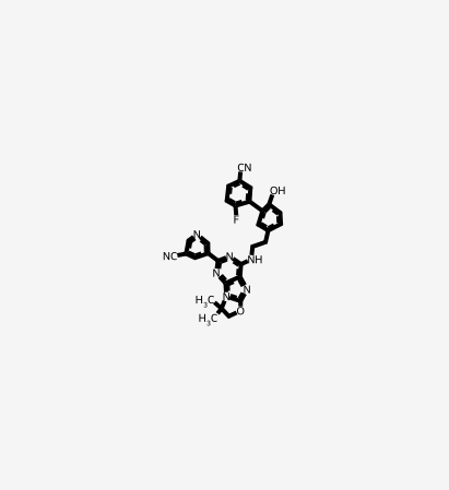 CC1(C)COc2nc3c(NCCc4ccc(O)c(-c5cc(C#N)ccc5F)c4)nc(-c4cncc(C#N)c4)nc3n21